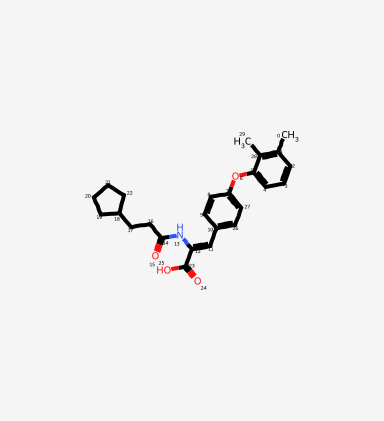 Cc1cccc(Oc2ccc(/C=C(\NC(=O)CCC3CCCC3)C(=O)O)cc2)c1C